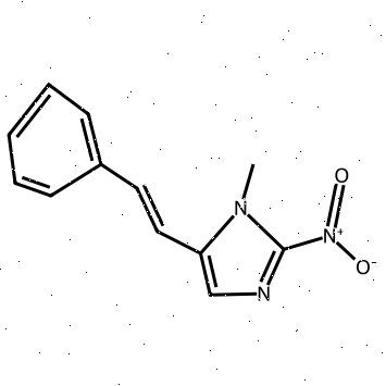 Cn1c(/C=C/c2ccccc2)cnc1[N+](=O)[O-]